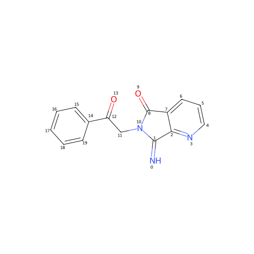 N=C1c2ncccc2C(=O)N1CC(=O)c1ccccc1